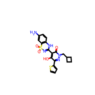 Nc1ccc2c(c1)S(=O)(=O)N=C(c1c(O)c(-c3cccs3)nn(CC3CCC3)c1=O)N2